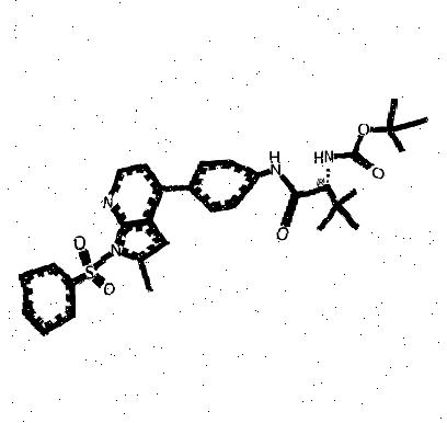 Cc1cc2c(-c3ccc(NC(=O)[C@H](NC(=O)OC(C)(C)C)C(C)(C)C)cc3)ccnc2n1S(=O)(=O)c1ccccc1